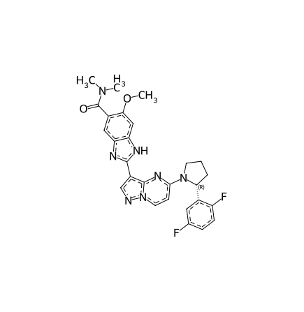 COc1cc2[nH]c(-c3cnn4ccc(N5CCC[C@@H]5c5cc(F)ccc5F)nc34)nc2cc1C(=O)N(C)C